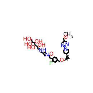 COCc1cnc(N2CCC([C@H]3C[C@H]3COCc3ccc(CC(=O)N4CC(CNCC(O)C(O)C(O)C(O)CO)C4)c(F)c3)CC2)nc1